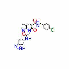 O=C(Cn1c(=O)c(C(=O)NCc2ccc(Cl)cc2)cc2cccnc21)Nc1ccc2nc[nH]c2c1